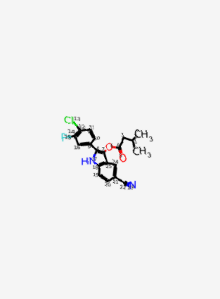 CC(C)CC(=O)Oc1c(-c2ccc(Cl)c(F)c2)[nH]c2ccc(C#N)cc12